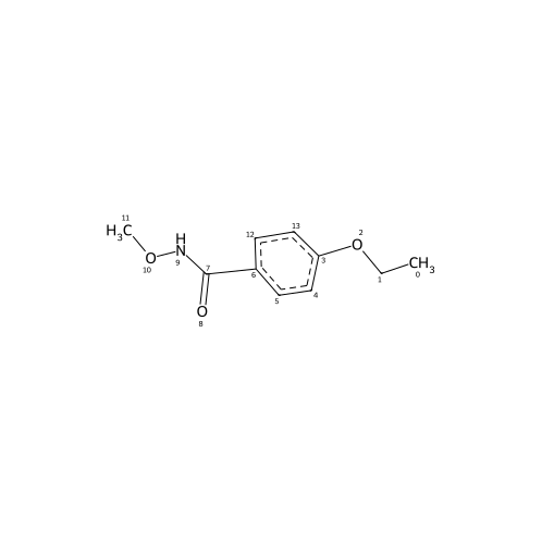 CCOc1ccc(C(=O)NOC)cc1